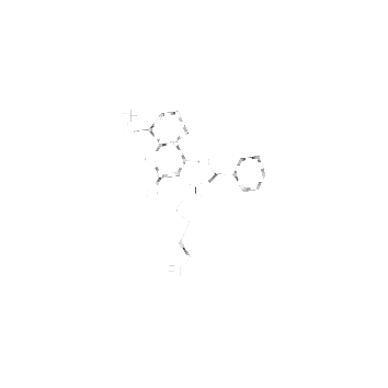 CCC=CCCOc1c(OC(=O)c2ccccc2)c2cccc(OC(C)(C)C)c2oc1=O